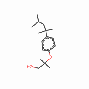 CC(C)CC(C)(C)c1ccc(OC(C)(C)CO)cc1